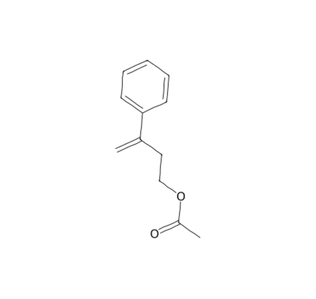 C=C(CCOC(C)=O)c1ccccc1